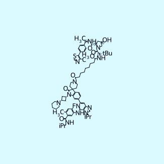 Cc1cc(F)c(Nc2nc(-c3ccc4c(c3)N([C@H]3C[C@@H](N5CCCCC5)C3)C(=O)C43CCN(C(=O)CCCCCCCC(=O)N[C@H](C(=O)N4C[C@H](O)C[C@H]4C(=O)N[C@@H](C)c4ccc(-c5scnc5C)cc4)C(C)(C)C)CC3)cc3ncn(C(C)C)c23)cc1C(=O)NC(C)C